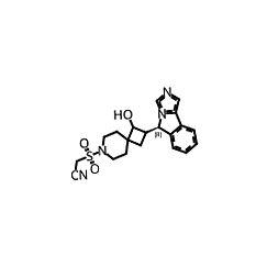 N#CCS(=O)(=O)N1CCC2(CC1)CC([C@@H]1c3ccccc3-c3cncn31)C2O